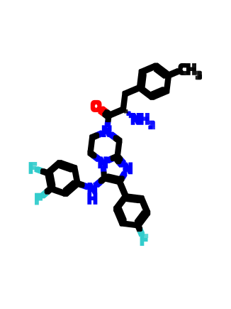 Cc1ccc(C[C@H](N)C(=O)N2CCn3c(nc(-c4ccc(F)cc4)c3Nc3ccc(F)c(F)c3)C2)cc1